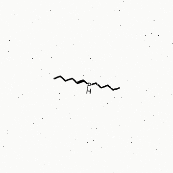 CCCCC=CPCCCCC